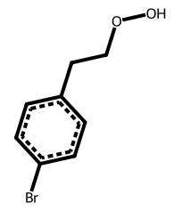 OOCCc1ccc(Br)cc1